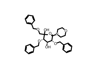 CC(O)(COCc1ccccc1)[C@@H](OCc1ccccc1)[C@H](O)[C@@H](OCc1ccccc1)C(=O)N1CCOCC1